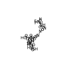 CC(=O)N[C@@H](CS)C(=O)NCC(=O)N[C@@H](CS)C(=O)N[C@@H](CCC(=O)O)C(=O)NCC(=O)N1CCN(CCCN(C)c2ccc3nccc(C(=O)NCC(=O)N4CC(F)(F)C[C@H]4C#N)c3c2)CC1